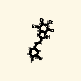 CCn1c(=O)c2[nH]c(C=Cc3ccc(F)c(Br)c3)nc2n(CC)c1=O